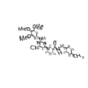 COc1cc(Nc2nc(Cl)cc(N3CCCC(C(=O)NCc4ccc(C)cc4)C3)n2)cc(OC)c1OC